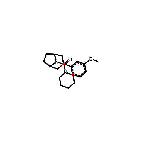 COc1cccc(C2CC3CCC(C2)N3C(=O)N2CCCCC2)c1